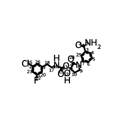 NC(=O)c1cccc(N2CC[C@](O)(OC(=O)NCCc3cc(F)cc(Cl)c3)C2=O)c1